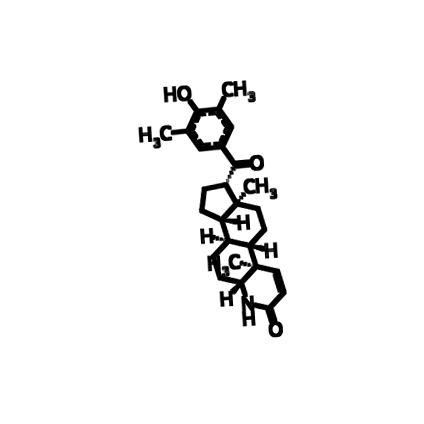 Cc1cc(C(=O)[C@H]2CC[C@H]3[C@@H]4CC[C@H]5NC(=O)C=C[C@]5(C)[C@H]4CC[C@]23C)cc(C)c1O